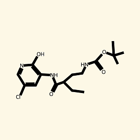 CCC(CCNC(=O)OC(C)(C)C)C(=O)Nc1cc(Cl)cnc1O